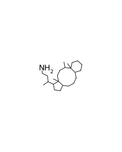 CC(CCN)C1CCC2CCCC3CCCCC3(C)C(C)CCC21C